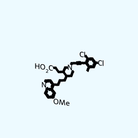 COc1ccc2nccc(CCCC3CCN(CC#Cc4c(C)cc(Cl)cc4Cl)CC3CCC(=O)O)c2c1